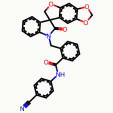 N#Cc1ccc(NC(=O)c2ccccc2CN2C(=O)C3(COc4cc5c(cc43)OCO5)c3ccccc32)cc1